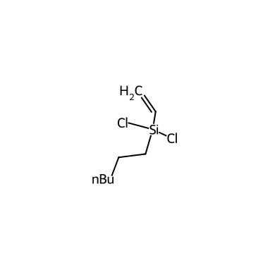 C=C[Si](Cl)(Cl)CCCCCC